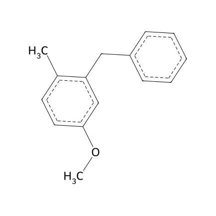 COc1ccc(C)c(Cc2ccccc2)c1